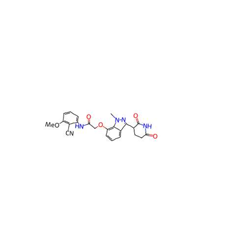 COc1cccc(NC(=O)COc2cccc3c(C4CCC(=O)NC4=O)nn(C)c23)c1C#N